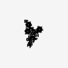 CC(C)[C@H](NC(=O)C(Cc1ccccc1)NC(=O)CC(c1ccccc1)c1ccc(Br)cc1)C(=O)C(F)(F)C(=O)NCC(F)(F)F